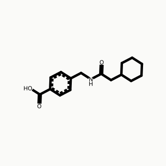 O=C(CC1CCCCC1)NCc1ccc(C(=O)O)cc1